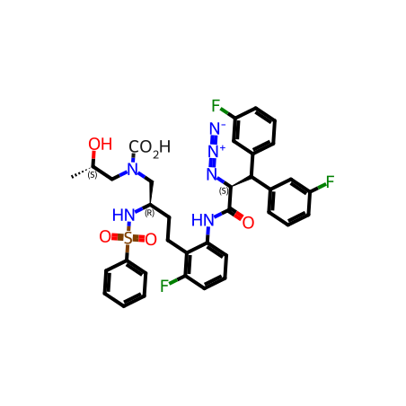 C[C@H](O)CN(C[C@@H](CCc1c(F)cccc1NC(=O)[C@@H](N=[N+]=[N-])C(c1cccc(F)c1)c1cccc(F)c1)NS(=O)(=O)c1ccccc1)C(=O)O